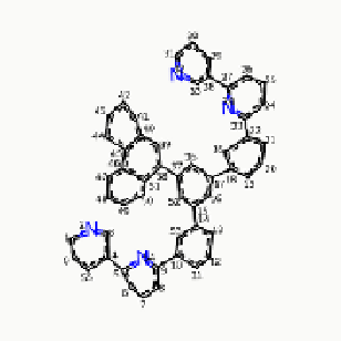 c1cncc(-c2cccc(-c3cccc(-c4cc(-c5cccc(-c6cccc(-c7cccnc7)n6)c5)cc(-c5cc6ccccc6c6ccccc56)c4)c3)n2)c1